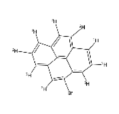 [2H]c1c([2H])c2c([2H])c([2H])c3c([2H])c([2H])c([2H])c4c(Br)c([2H])c(c1[2H])c2c34